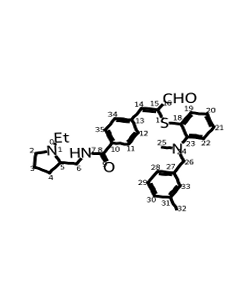 CCN1CCCC1CNC(=O)c1ccc(/C=C(/C=O)Sc2ccccc2N(C)Cc2cccc(C)c2)cc1